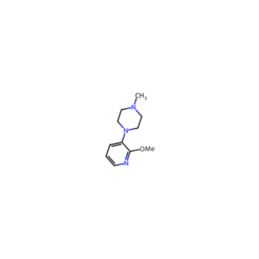 COc1ncccc1N1CCN(C)CC1